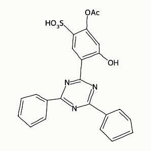 CC(=O)Oc1cc(O)c(-c2nc(-c3ccccc3)nc(-c3ccccc3)n2)cc1S(=O)(=O)O